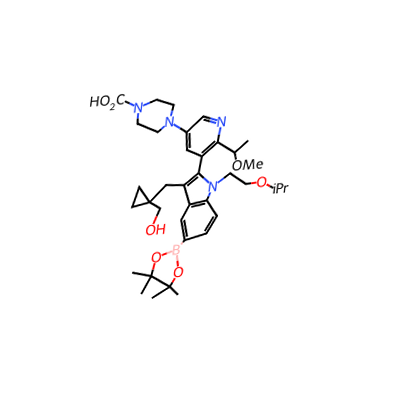 COC(C)c1ncc(N2CCN(C(=O)O)CC2)cc1-c1c(CC2(CO)CC2)c2cc(B3OC(C)(C)C(C)(C)O3)ccc2n1CCOC(C)C